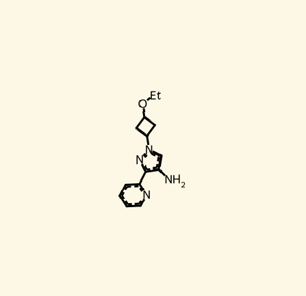 CCOC1CC(n2cc(N)c(-c3ccccn3)n2)C1